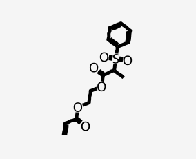 C=CC(=O)OCCOC(=O)C(C)S(=O)(=O)c1ccccc1